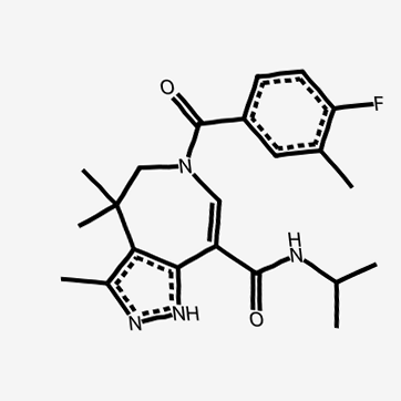 Cc1cc(C(=O)N2C=C(C(=O)NC(C)C)c3[nH]nc(C)c3C(C)(C)C2)ccc1F